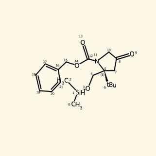 C[SiH](C)OC[C@@]1(C(C)(C)C)CC(=O)CN1C(=O)OCc1ccccc1